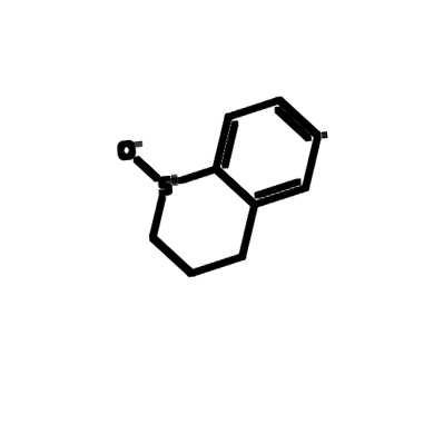 [O-][S+]1CCCc2c[c]ccc21